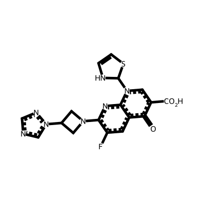 O=C(O)c1cn(C2NC=CS2)c2nc(N3CC(n4cncn4)C3)c(F)cc2c1=O